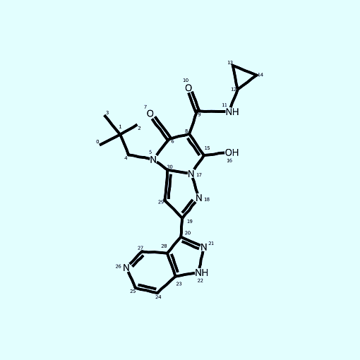 CC(C)(C)Cn1c(=O)c(C(=O)NC2CC2)c(O)n2nc(-c3n[nH]c4ccncc34)cc12